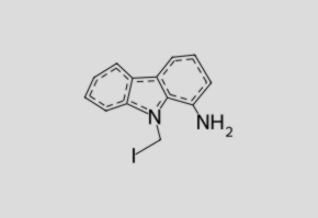 Nc1cccc2c3ccccc3n(CI)c12